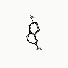 COc1ccc2cc(N)cnc2c1